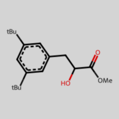 COC(=O)C(O)Cc1cc(C(C)(C)C)cc(C(C)(C)C)c1